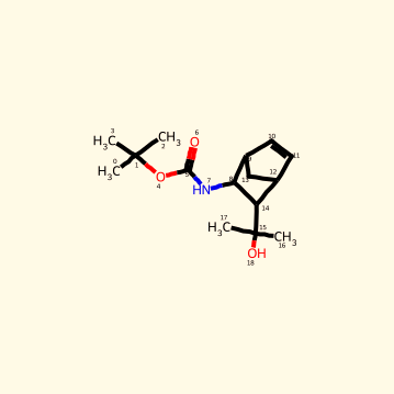 CC(C)(C)OC(=O)NC1C2C=CC(C2)C1C(C)(C)O